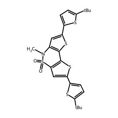 CN1c2cc(-c3ccc(C(C)(C)C)s3)sc2-c2sc(-c3ccc(C(C)(C)C)s3)cc2S1(=O)=O